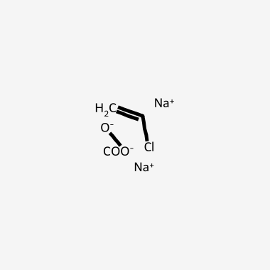 C=CCl.O=C([O-])[O-].[Na+].[Na+]